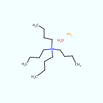 CCCC[N+](CCCC)(CCCC)CCCC.O.P